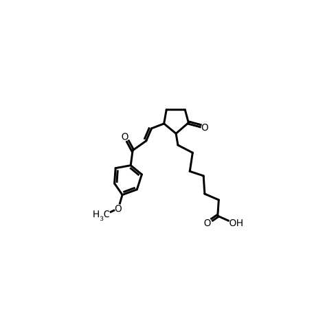 COc1ccc(C(=O)C=CC2CCC(=O)C2CCCCCCC(=O)O)cc1